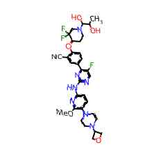 COc1nc(Nc2ncc(F)c(-c3ccc(OC4CCN(C(O)C(C)O)CC4(F)F)c(C#N)c3)n2)ccc1N1CCN(C2COC2)CC1